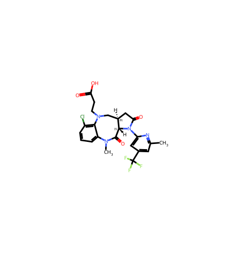 Cc1cc(C(F)(F)F)cc(N2C(=O)C[C@@H]3CN(CCC(=O)O)c4c(Cl)cccc4N(C)C(=O)[C@H]32)n1